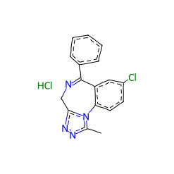 Cc1nnc2n1-c1ccc(Cl)cc1C(c1ccccc1)=NC2.Cl